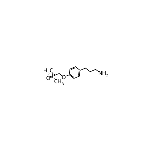 CP(C)(=O)COc1ccc(CCCN)cc1